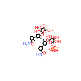 CNC(=O)c1cccc(-c2ccc(O[C@H]3O[C@@H](COP(=O)(O)O)[C@@H](O)[C@H](O)[C@H]3O)c(C)c2)c1.Cc1cc(-c2cccc(C(N)=O)c2C)ccc1O[C@H]1O[C@@H](CO)[C@@H](O)[C@H](O)[C@H]1O